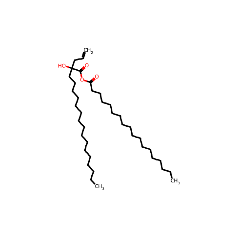 C=CCC(O)(CCCCCCCCCCCCCCCC)C(=O)OC(=O)CCCCCCCCCCCCCCCCC